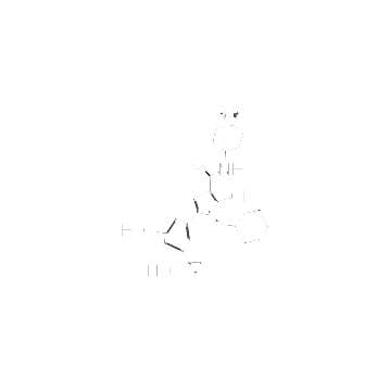 Cc1cc(-c2cc(C(=O)NC3CCS(=O)(=O)CC3)c(C)n2CC2CCCCC2)cc(C2(C)CC2)c1